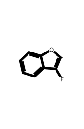 Fc1[c]oc2ccccc12